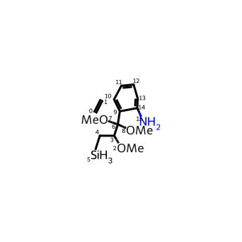 C=C.COC(C[SiH3])C(OC)(OC)c1ccccc1N